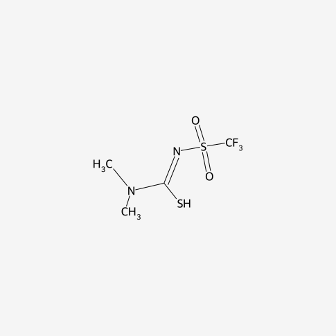 CN(C)/C(S)=N/S(=O)(=O)C(F)(F)F